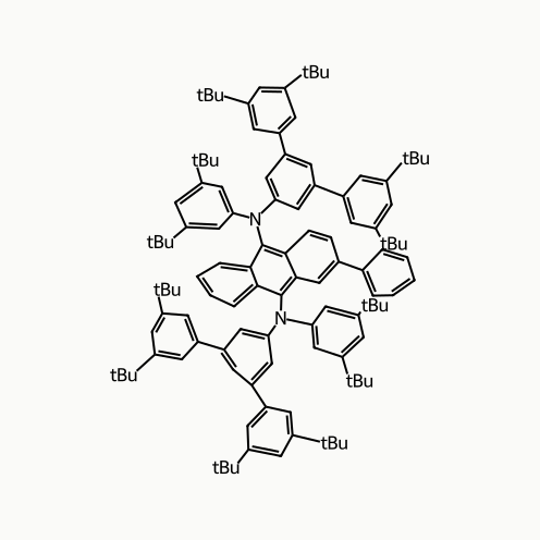 CC(C)(C)c1cc(-c2cc(-c3cc(C(C)(C)C)cc(C(C)(C)C)c3)cc(N(c3cc(C(C)(C)C)cc(C(C)(C)C)c3)c3c4ccccc4c(N(c4cc(-c5cc(C(C)(C)C)cc(C(C)(C)C)c5)cc(-c5cc(C(C)(C)C)cc(C(C)(C)C)c5)c4)c4cc(C(C)(C)C)cc(C(C)(C)C)c4)c4cc(-c5ccccc5)ccc34)c2)cc(C(C)(C)C)c1